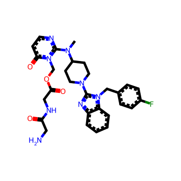 CN(c1nccc(=O)n1COC(=O)CNC(=O)CN)C1CCN(c2nc3ccccc3n2Cc2ccc(F)cc2)CC1